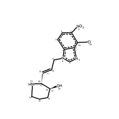 O=[N+]([O-])c1ccc2c(ncn2C/C=C/[C@H]2NCCC[C@@H]2O)c1Cl